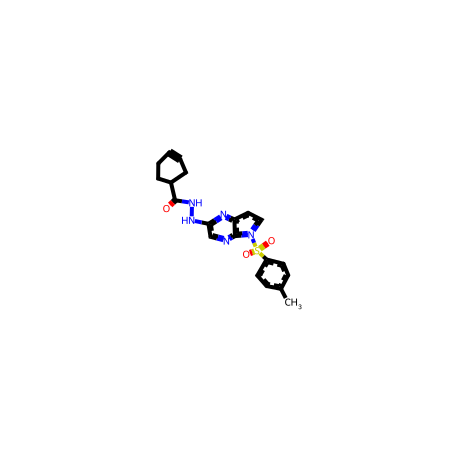 Cc1ccc(S(=O)(=O)n2ccc3nc(NNC(=O)C4CC#CCC4)cnc32)cc1